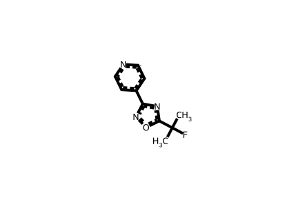 CC(C)(F)c1nc(-c2c[c]ncc2)no1